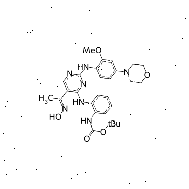 COc1cc(N2CCOCC2)ccc1Nc1ncc(C(C)=NO)c(Nc2ccccc2NC(=O)OC(C)(C)C)n1